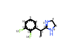 CC(C1=NCCN1)c1cccc(F)c1F